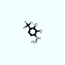 NNc1ccc(C(F)(F)F)c(Cl)c1Cl